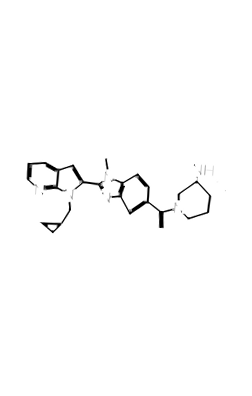 C=C(c1ccc2c(c1)nc(-c1cc3cccnc3n1CC1CC1)n2C)N1CC[C@@H](C)[C@H](N)C1